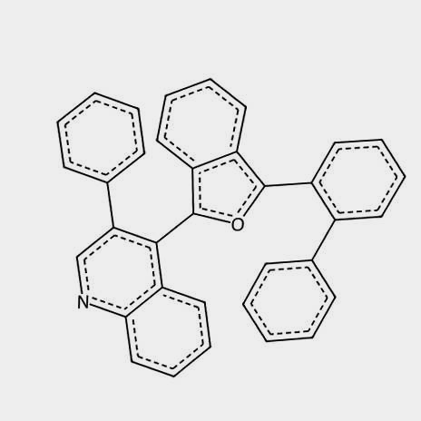 c1ccc(-c2ccccc2-c2oc(-c3c(-c4ccccc4)cnc4ccccc34)c3ccccc23)cc1